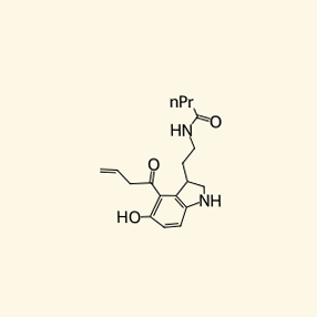 C=CCC(=O)c1c(O)ccc2c1C(CCNC(=O)CCC)CN2